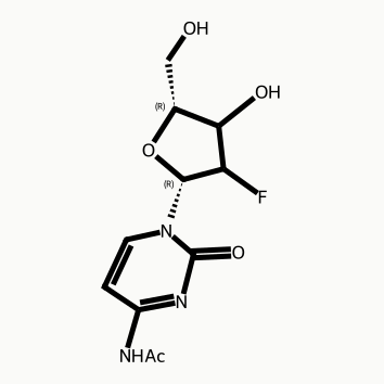 CC(=O)Nc1ccn([C@@H]2O[C@H](CO)C(O)C2F)c(=O)n1